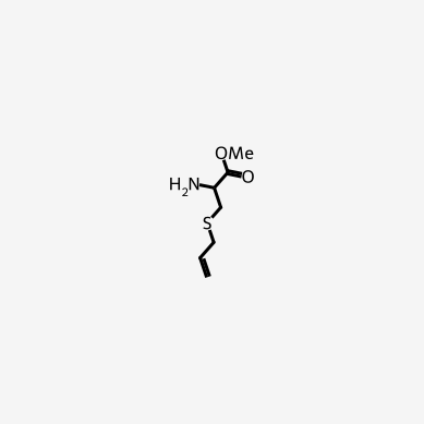 C=CCSCC(N)C(=O)OC